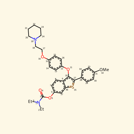 CCN(CC)C(=O)Oc1ccc2c(Oc3ccc(OCCN4CCCCC4)cc3)c(-c3ccc(OC)cc3)sc2c1